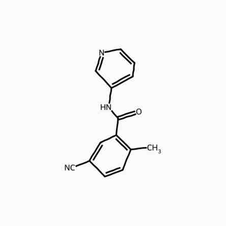 Cc1ccc(C#N)cc1C(=O)Nc1cccnc1